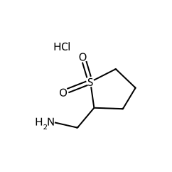 Cl.NCC1CCCS1(=O)=O